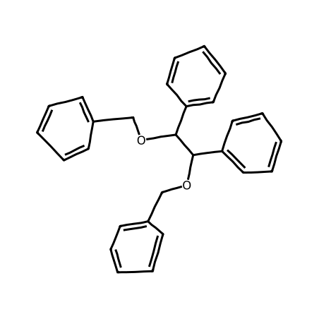 c1ccc(COC(c2ccccc2)C(OCc2ccccc2)c2ccccc2)cc1